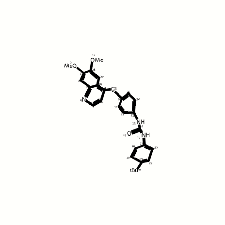 COc1cc2nccc(Oc3ccc(NC(=O)Nc4ccc(C(C)(C)C)cc4)cc3)c2cc1OC